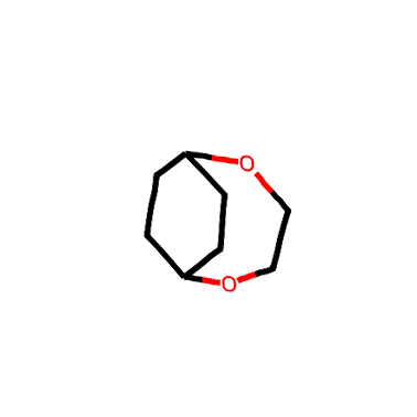 C1COC2CCC(CC2)O1